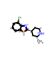 C[C@@H]1C[C@@H](c2nc3c(F)cccc3s2)CCN1